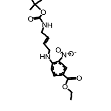 CCOC(=O)c1ccc(NCC=CCNC(=O)OC(C)(C)C)c([N+](=O)[O-])c1